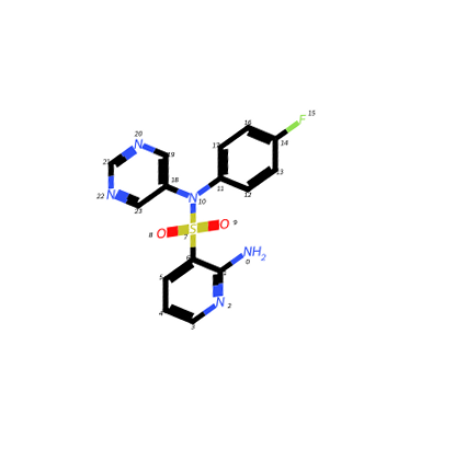 Nc1ncccc1S(=O)(=O)N(c1ccc(F)cc1)c1cncnc1